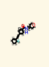 CCOC(=O)C1(CNC(=O)c2ccc(C#CC3=CCCCC3F)cc2)CCOCC1